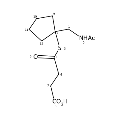 CC(=O)NCC1(SC(=O)CCC(=O)O)CCCC1